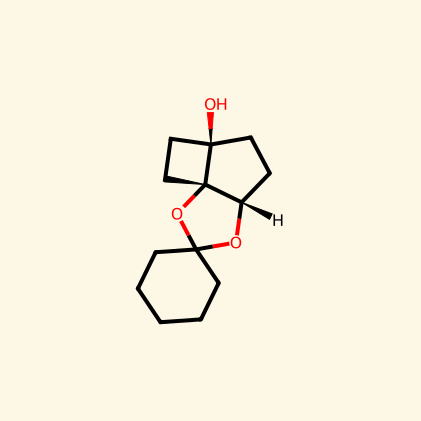 O[C@@]12CC[C@@H]3OC4(CCCCC4)O[C@@]31CC2